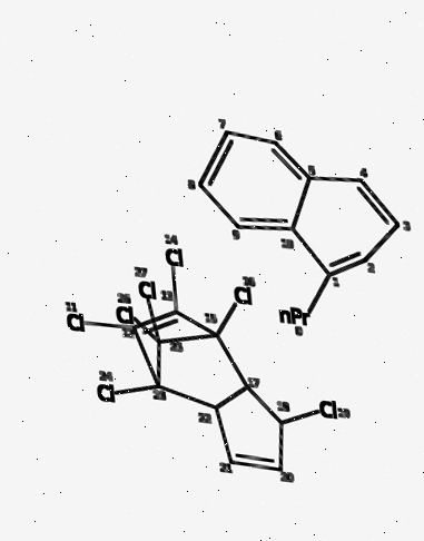 CCCc1cccc2ccccc12.ClC1=C(Cl)C2(Cl)C3C(Cl)C=CC3C1(Cl)C2(Cl)Cl